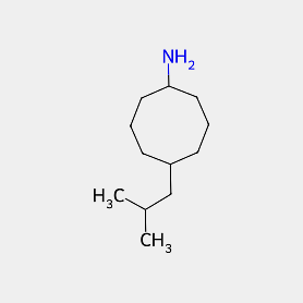 CC(C)CC1CCCC(N)CCC1